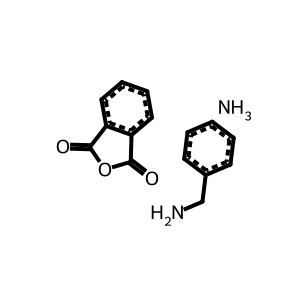 N.NCc1ccccc1.O=C1OC(=O)c2ccccc21